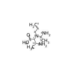 C=CCN(C(C)N)C(C(=O)O)C(C)N